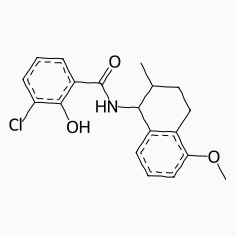 COc1cccc2c1CCC(C)C2NC(=O)c1cccc(Cl)c1O